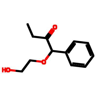 CCC(=O)C(OCCO)c1ccccc1